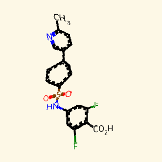 Cc1ccc(-c2ccc(S(=O)(=O)Nc3cc(F)c(C(=O)O)c(F)c3)cc2)cn1